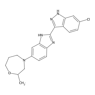 [CH2]C1CN(c2ccc3nc(-c4n[nH]c5cc(Cl)ccc45)[nH]c3c2)CCCO1